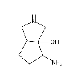 NC1CCC2CNCC12O